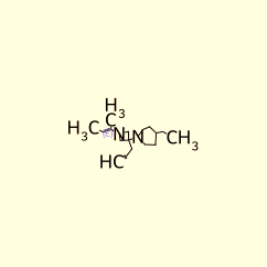 C#CCC1(N2CCC(CC)CC2)CN(/C(C)=C/C)C1